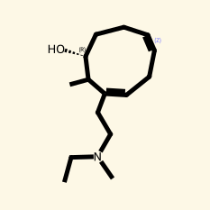 CCN(C)CCC1=CC/C=C\CC[C@@H](O)C1C